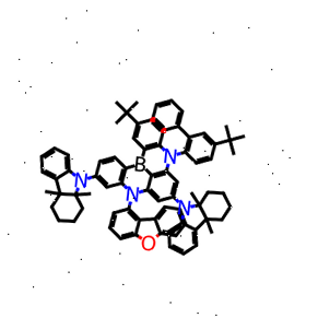 CC(C)(C)c1ccc2c(c1)B1c3ccc(N4c5ccccc5C5(C)CCCCC45C)cc3N(c3cccc4oc5ccccc5c34)c3cc(N4c5ccccc5C5(C)CCCCC45C)cc(c31)N2c1ccc(C(C)(C)C)cc1-c1ccccc1